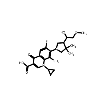 COCC(O)C1CN(c2c(F)cc3c(=O)c(C(=O)O)cn(C4CC4)c3c2C)CC1(C)C